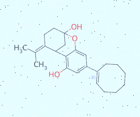 CC(C)=C1CCC2(O)CC1c1c(O)cc(/C3=C/CCCCCC3)cc1O2